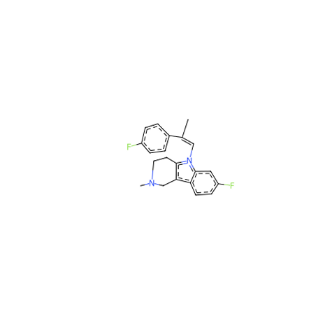 C/C(=C/n1c2c(c3ccc(F)cc31)CN(C)CC2)c1ccc(F)cc1